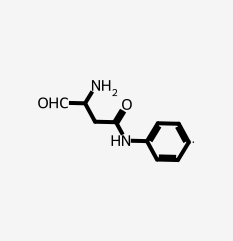 NC(C=O)CC(=O)Nc1cc[c]cc1